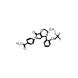 CC(=O)c1ccc(N2CC3=C(OC[C@H](C)N=C3c3ccccc3OCC(F)(F)F)C2=O)cc1